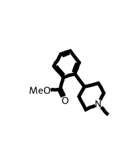 COC(=O)c1ccccc1C1CCN(C)CC1